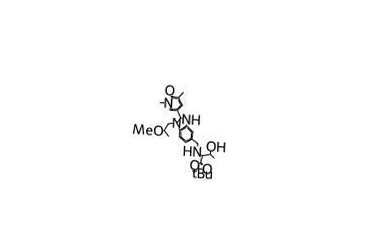 COC(C)CN1c2ccc(CNC(C(=O)OC(C)(C)C)C(C)O)cc2NC1c1cc(C)c(=O)n(C)c1